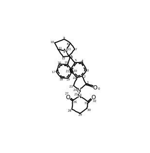 O=C1c2ccc(C3CC4CCC(C3)N4Cc3ccccc3)cc2CN1N1C(=O)CCCC1=O